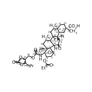 CCC(=O)O[C@H]1CC[C@@]2(C)[C@@H](CC[C@]3(C)[C@@H]2C(=O)C=C2[C@@H]4C[C@@](C)(C(=O)O)CC[C@]4(C)CC[C@]23C)[C@]1(C)NC(=O)OCc1oc(=O)oc1C(C)C